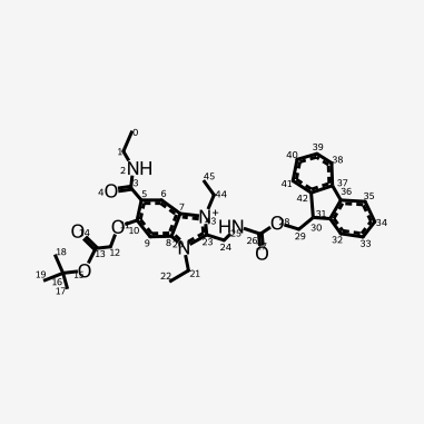 CCNC(=O)c1cc2c(cc1OCC(=O)OC(C)(C)C)n(CC)c(CNC(=O)OCC1c3ccccc3-c3ccccc31)[n+]2CC